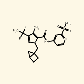 Cc1c(C(C)(F)F)nn(CC23CCC2C3)c1C(=O)Nc1ccnc(S(N)(=O)=O)c1